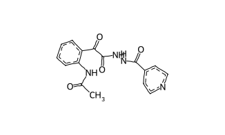 CC(=O)Nc1ccccc1C(=O)C(=O)NNC(=O)c1ccncc1